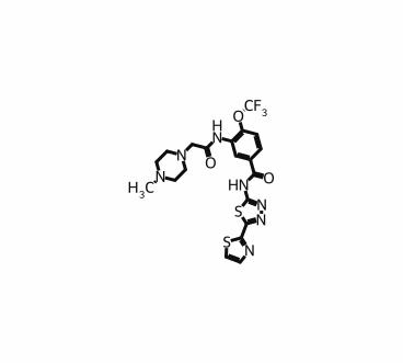 CN1CCN(CC(=O)Nc2cc(C(=O)Nc3nnc(-c4nccs4)s3)ccc2OC(F)(F)F)CC1